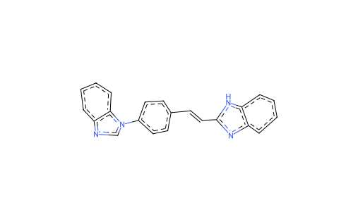 C(=Cc1nc2ccccc2[nH]1)c1ccc(-n2cnc3ccccc32)cc1